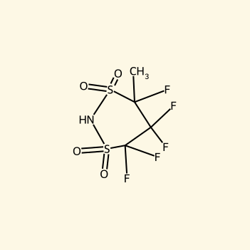 CC1(F)C(F)(F)C(F)(F)S(=O)(=O)NS1(=O)=O